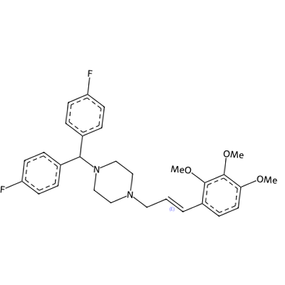 COc1ccc(/C=C/CN2CCN(C(c3ccc(F)cc3)c3ccc(F)cc3)CC2)c(OC)c1OC